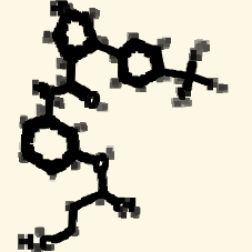 CCCC(C)Oc1cccc(NC(=O)c2c[nH]nc2-c2ccc(C(F)(F)F)cc2)c1